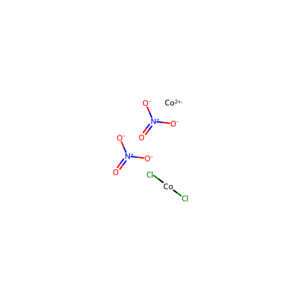 O=[N+]([O-])[O-].O=[N+]([O-])[O-].[Cl][Co][Cl].[Co+2]